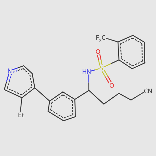 CCc1cnccc1-c1cccc(C(CCCC#N)NS(=O)(=O)c2ccccc2C(F)(F)F)c1